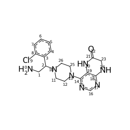 NCC(c1ccccc1Cl)N1CCN(c2ncnc3c2NC(=O)CN3)CC1